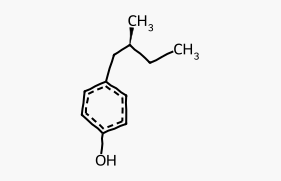 CC[C@H](C)Cc1ccc(O)cc1